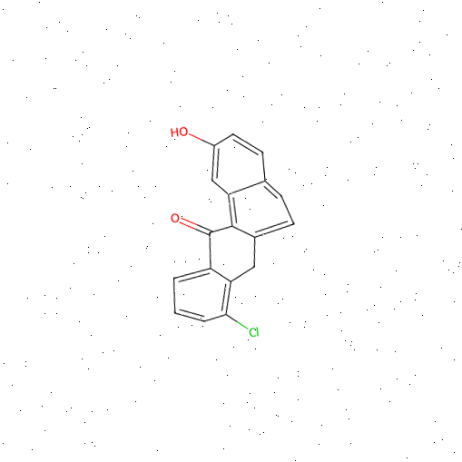 O=C1c2cccc(Cl)c2Cc2ccc3ccc(O)cc3c21